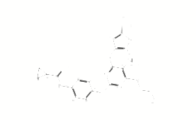 CCOOCc1nc(Sc2ccc(NC(=O)C3CC3)cc2)nc(Nc2cc(C)[nH]n2)c1N